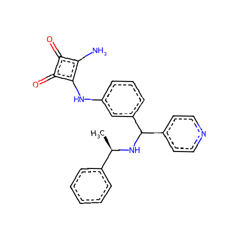 C[C@@H](NC(c1ccncc1)c1cccc(Nc2c(N)c(=O)c2=O)c1)c1ccccc1